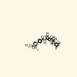 CC(C)N1CCN(c2ccc(C(=O)Nc3n[nH]c4c3CN(S(=O)(=O)c3cc(F)cc(F)c3)C4(C)C)cc2)CC1